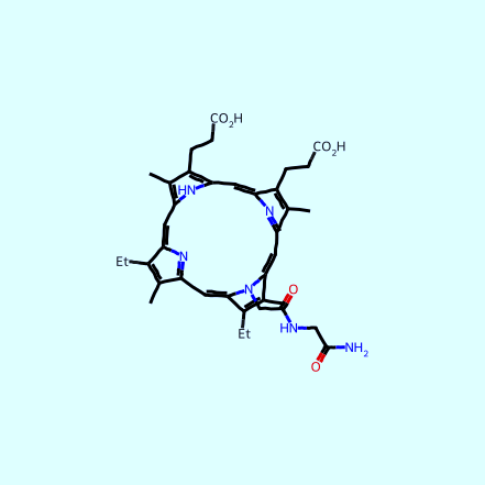 CCC1=C(C)c2cc3c(CC)c(C)c(cc4nc(cc5[nH]c(cc1n2)c(C)c5CCC(=O)O)C(CCC(=O)O)=C4C)n3CC(=O)NCC(N)=O